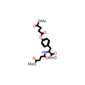 COC(=O)CCC(=O)NC(Cc1ccc(OC(=O)CCC(=O)OC)cc1)C(=O)OC